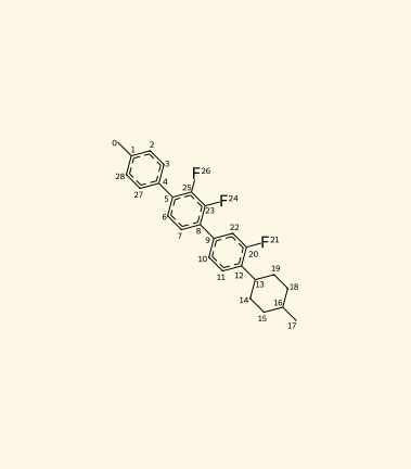 Cc1ccc(-c2ccc(-c3ccc(C4CCC(C)CC4)c(F)c3)c(F)c2F)cc1